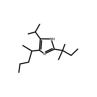 CCCC(C)c1nc(C(C)(C)CC)[nH]c1C(C)C